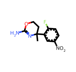 CC1(c2cc([N+](=O)[O-])ccc2F)CCOC(N)=N1